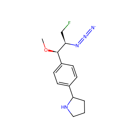 CO[C@H](c1ccc(C2CCCN2)cc1)[C@@H](CF)N=[N+]=[N-]